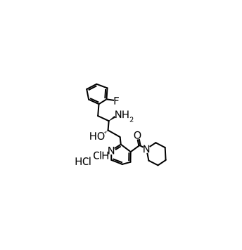 Cl.Cl.N[C@H](Cc1ccccc1F)[C@@H](O)Cc1ncccc1C(=O)N1CCCCC1